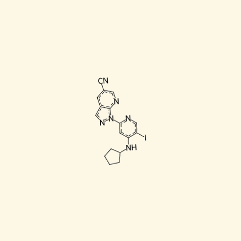 N#Cc1cnc2c(cnn2-c2cc(NC3CCCC3)c(I)cn2)c1